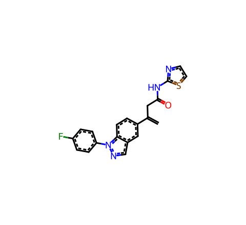 C=C(CC(=O)Nc1nccs1)c1ccc2c(cnn2-c2ccc(F)cc2)c1